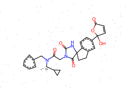 C[C@@H](C1CC1)N(Cc1ccccc1)C(=O)CN1C(=O)NC2(CCc3cc(C4(O)C=CC(=O)O4)ccc32)C1=O